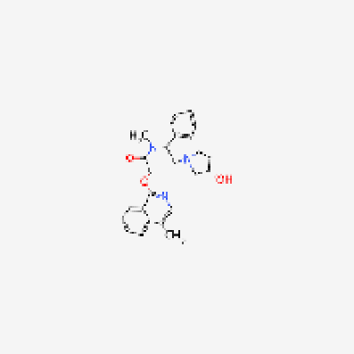 Cc1cnc(OCC(=O)N(C)C(CN2CC[C@H](O)C2)c2ccccc2)c2ccccc12